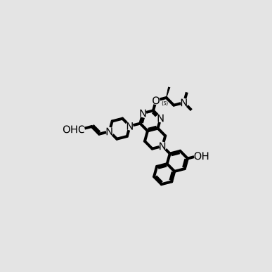 C[C@@H](CN(C)C)Oc1nc2c(c(N3CCN(C=CC=O)CC3)n1)CCN(c1cc(O)cc3ccccc13)C2